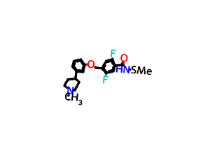 CSNC(=O)c1cc(F)c(COc2cccc(C3CCN(C)CC3)c2)cc1F